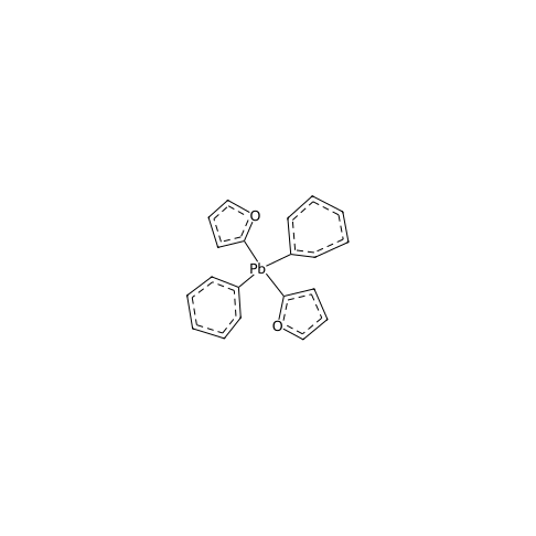 c1cc[c]([Pb]([c]2ccccc2)([c]2ccco2)[c]2ccco2)cc1